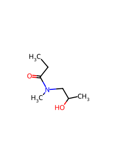 CCC(=O)N(C)CC(C)O